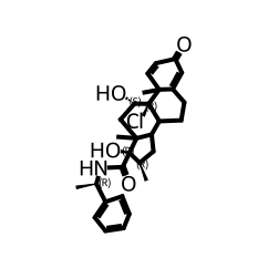 C[C@@H]1CC2C3CCC4=CC(=O)C=CC4(C)[C@@]3(Cl)[C@@H](O)CC2(C)[C@@]1(O)C(=O)N[C@H](C)c1ccccc1